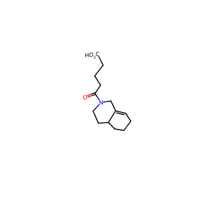 O=C(O)CCCC(=O)N1CCC2CCCC=C2C1